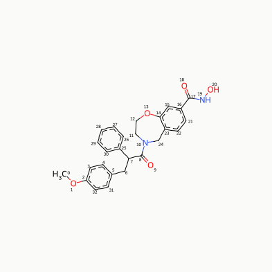 COc1ccc(CC(C(=O)N2CCOc3cc(C(=O)NO)ccc3C2)c2ccccc2)cc1